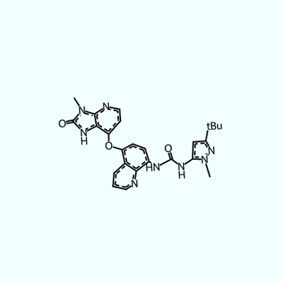 Cn1nc(C(C)(C)C)cc1NC(=O)Nc1ccc(Oc2ccnc3c2[nH]c(=O)n3C)c2cccnc12